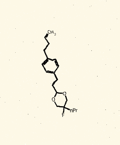 C=CCCc1ccc(CCC2OCC(F)(CCC)CO2)cc1